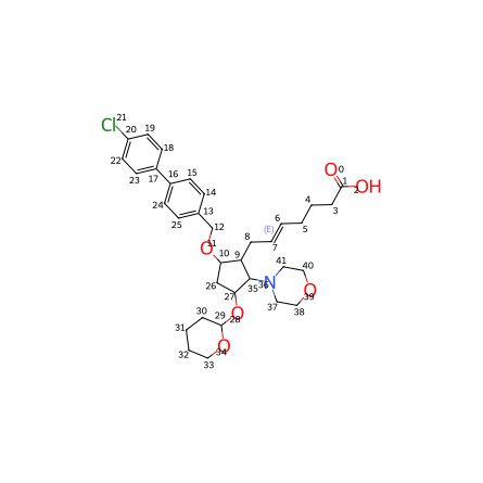 O=C(O)CCC/C=C/CC1C(OCc2ccc(-c3ccc(Cl)cc3)cc2)CC(OC2CCCCO2)C1N1CCOCC1